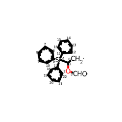 [CH2]C(O[C]=O)[Si](c1ccccc1)(c1ccccc1)c1ccccc1